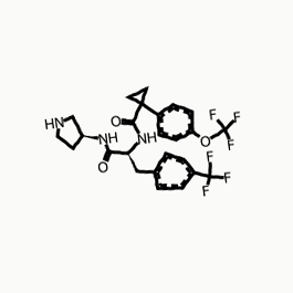 O=C(N[C@H]1CCNC1)[C@H](Cc1ccc(C(F)(F)F)cc1)NC(=O)C1(c2ccc(OC(F)(F)F)cc2)CC1